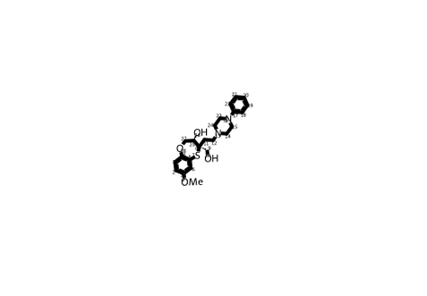 COc1ccc2c(c1)S[C@](CO)(CCN1CCN(c3ccccc3)CC1)[C@@H](O)CO2